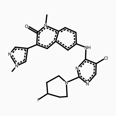 Cn1cc(-c2cc3cc(Nc4nc(N5CCC(I)CC5)ncc4Cl)ccc3n(C)c2=O)cn1